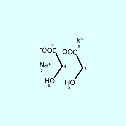 O=C([O-])CO.O=C([O-])CO.[K+].[Na+]